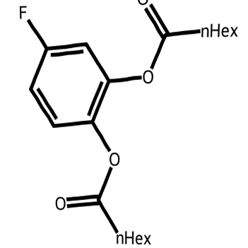 CCCCCCC(=O)Oc1ccc(F)cc1OC(=O)CCCCCC